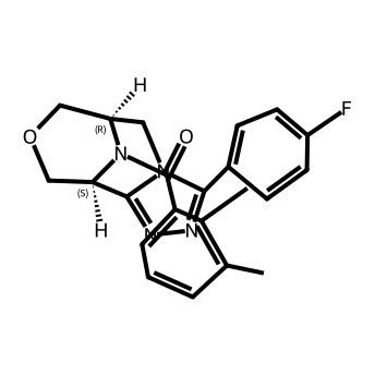 Cc1cccc(C(=O)N2[C@H]3COC[C@@H]2c2nnc(-c4ccc(F)cc4)n2C3)c1C